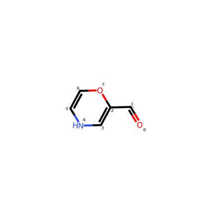 O=[C]C1=CNC=CO1